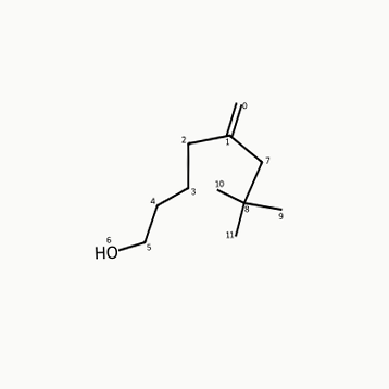 C=C(CCCCO)CC(C)(C)C